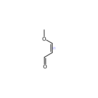 CO/C=C\C=O